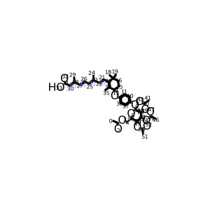 CC(=O)OC[C@H]1O[C@@H](Oc2ccc(OC3CCC(C)(C)C(/C=C/C(C)=C/C=C/C(C)=C/C(=O)O)=C3C)cc2)[C@@H](OC(C)=O)[C@H](OC(C)=O)[C@@H]1OC(C)=O